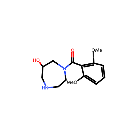 COc1cccc(OC)c1C(=O)N1CCNCC(O)C1